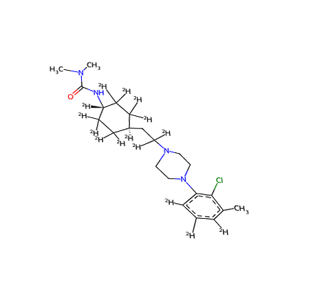 [2H]c1c([2H])c(C)c(Cl)c(N2CCN(C([2H])([2H])C[C@]3([2H])C([2H])([2H])C([2H])([2H])[C@@]([2H])(NC(=O)N(C)C)C([2H])([2H])C3([2H])[2H])CC2)c1[2H]